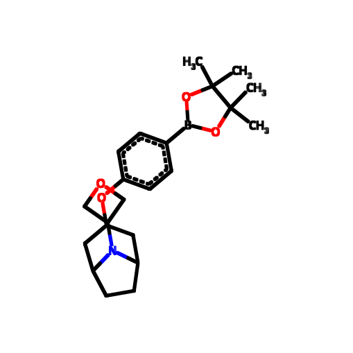 CC1(C)OB(c2ccc(OC3CC4CCC(C3)N4C3COC3)cc2)OC1(C)C